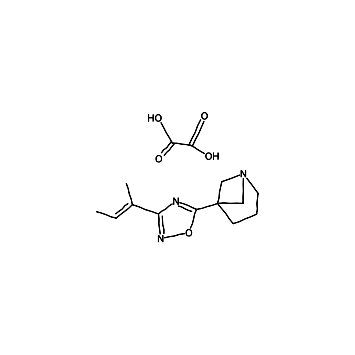 C/C=C(\C)c1noc(C23CCCN(C2)C3)n1.O=C(O)C(=O)O